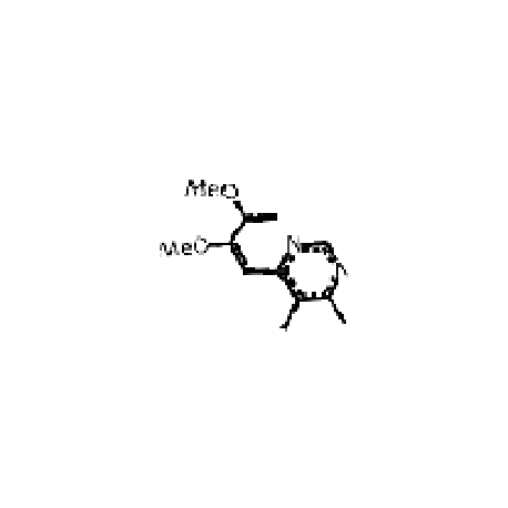 C=C(OC)/C(=C\c1ncnc(C)c1C)OC